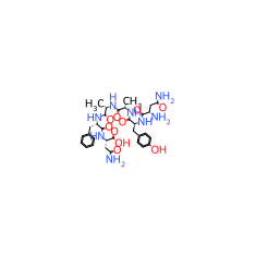 C[C@H](NC(=O)[C@H](C)NC(=O)[C@H](Cc1ccc(O)cc1)NC(=O)[C@@H](N)CC(N)=O)C(=O)N[C@@H](Cc1ccccc1)C(=O)N[C@@H](CC(N)=O)C(=O)O